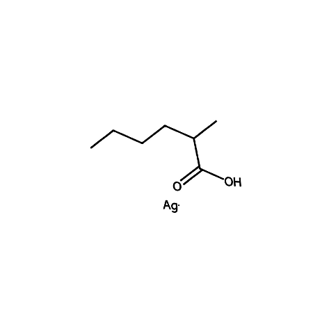 CCCCC(C)C(=O)O.[Ag]